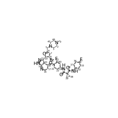 CN1CCN(Cc2cc(Br)c(-c3n[nH]c4nccc(Oc5ccc(NC(=O)C6(C(=O)Nc7ccc(F)cc7)CC6)cc5F)c34)o2)CC1